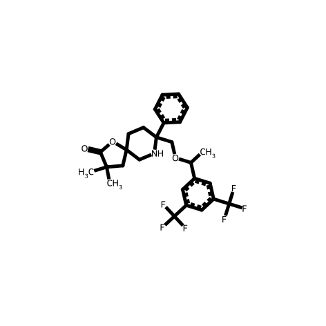 CC(OCC1(c2ccccc2)CCC2(CN1)CC(C)(C)C(=O)O2)c1cc(C(F)(F)F)cc(C(F)(F)F)c1